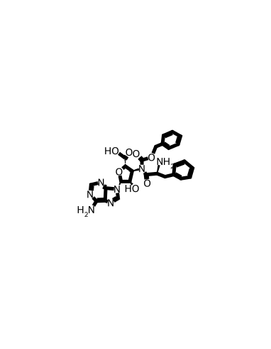 Nc1ncnc2c1ncn2[C@@H]1O[C@H](C(=O)O)[C@@H](N(C(=O)OCc2ccccc2)C(=O)[C@@H](N)Cc2ccccc2)[C@H]1O